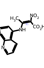 C/C(Nc1cccc2ncccc12)=C(/C(=O)O)[N+](=O)[O-]